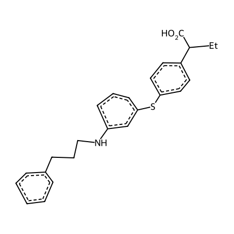 CCC(C(=O)O)c1ccc(Sc2cccc(NCCCc3ccccc3)c2)cc1